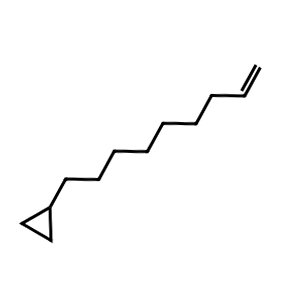 C=CCCCCCCCC1CC1